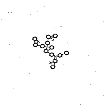 CC1(C)c2ccccc2-c2ccc(N(c3ccc(-c4ccccc4)cc3)c3ccc(-c4cccc5c4-c4ccccc4C5(c4ccc(-c5cccc6c5sc5ccccc56)cc4)c4ccc(-c5cccc6c5sc5ccccc56)cc4)cc3)cc21